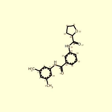 Cc1cc(C)cc(NC(=O)c2cccc(NC(=O)C3CCCO3)c2)c1